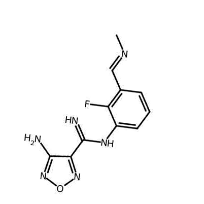 CN=Cc1cccc(NC(=N)c2nonc2N)c1F